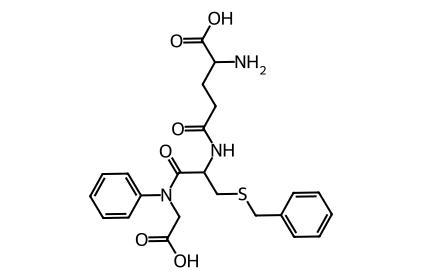 NC(CCC(=O)NC(CSCc1ccccc1)C(=O)N(CC(=O)O)c1ccccc1)C(=O)O